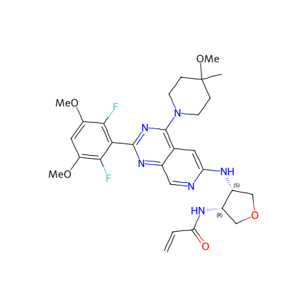 C=CC(=O)N[C@H]1COC[C@H]1Nc1cc2c(N3CCC(C)(OC)CC3)nc(-c3c(F)c(OC)cc(OC)c3F)nc2cn1